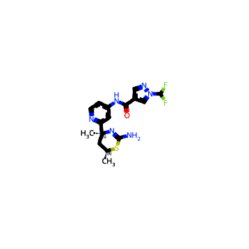 C[C@@H]1C[C@@](C)(c2cc(NC(=O)c3cnn(C(F)F)c3)ccn2)N=C(N)S1